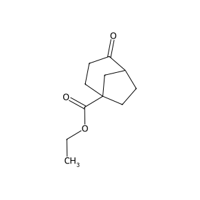 CCOC(=O)C12CCC(=O)C(CC1)C2